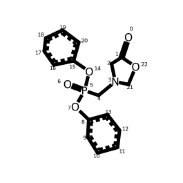 O=C1CN(CP(=O)(Oc2ccccc2)Oc2ccccc2)CO1